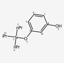 CCC[Si](CCC)(Oc1cccc(O)c1)C(C)C